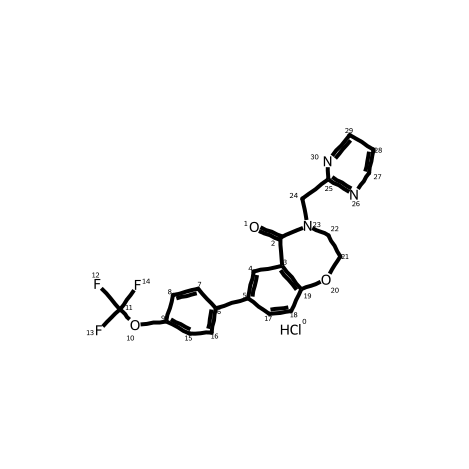 Cl.O=C1c2cc(-c3ccc(OC(F)(F)F)cc3)ccc2OCCN1Cc1ncccn1